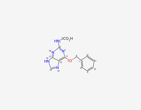 O=C(O)Nc1nc(OCc2ccccc2)c2nc[nH]c2n1